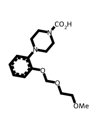 COCCOCOc1ccccc1N1CCN(C(=O)O)CC1